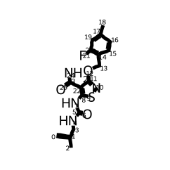 C=C(C)CNC(=O)Nc1snc(OCc2ccc(C)cc2F)c1C(N)=O